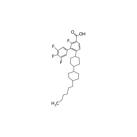 CCCCCCC1CCC(C2CCC(c3ccc(C(=O)O)c(F)c3-c3cc(F)c(F)c(F)c3)CC2)CC1